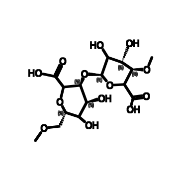 COC[C@@H]1OC(C(=O)O)[C@@H](O[C@@H]2OC(C(=O)O)[C@H](OC)[C@@H](O)C2O)[C@@H](O)C1O